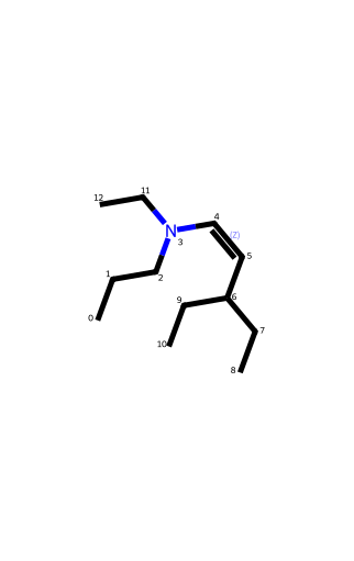 CCCN(/C=C\C(CC)CC)CC